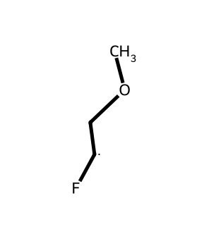 COC[CH]F